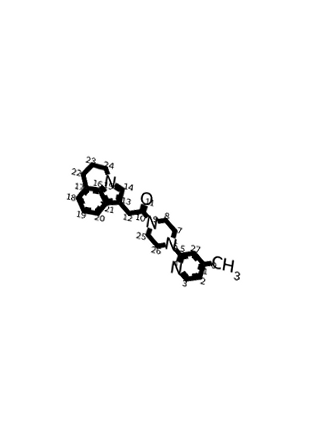 Cc1ccnc(N2CCN(C(=O)Cc3cn4c5c(cccc35)CCC4)CC2)c1